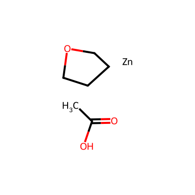 C1CCOC1.CC(=O)O.[Zn]